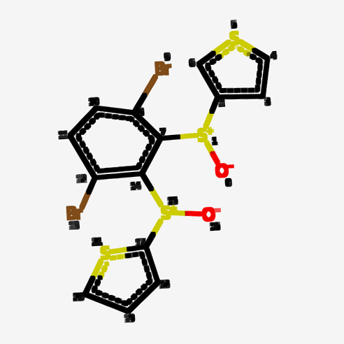 [O-][S+](c1ccsc1)c1c(Br)ccc(Br)c1[S+]([O-])c1cccs1